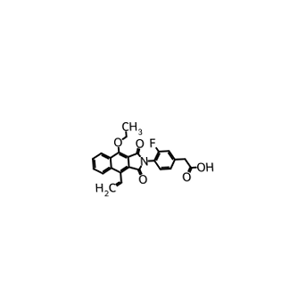 C=Cc1c2c(c(OCC)c3ccccc13)C(=O)N(c1ccc(CC(=O)O)cc1F)C2=O